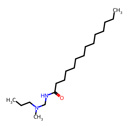 CCCCCCCCCCCCCC(=O)NCN(C)CCC